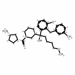 COCCCC[C@@](O)(c1cccc(Cl)c1Cc1cccc(C)c1)[C@@H]1CCCN(C(=O)[C@@H]2CC[C@H](N)C2)C1